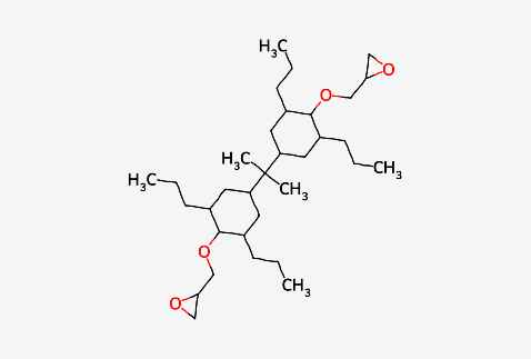 CCCC1CC(C(C)(C)C2CC(CCC)C(OCC3CO3)C(CCC)C2)CC(CCC)C1OCC1CO1